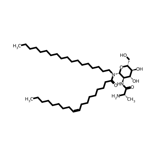 CCCCCCCC/C=C\CCCCCCCC(=O)N(CCCCCCCCCCCCCCCCCC)[C@@H]1O[C@H](CO)[C@@H](O)[C@H](O)[C@H]1NC(=O)[C@H](C)N